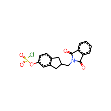 O=C1c2ccccc2C(=O)N1CC1Cc2ccc(OS(=O)(=O)Cl)cc2C1